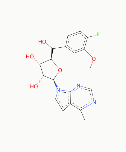 COc1cc(C(O)[C@H]2O[C@@H](n3ccc4c(C)ncnc43)[C@H](O)[C@@H]2O)ccc1F